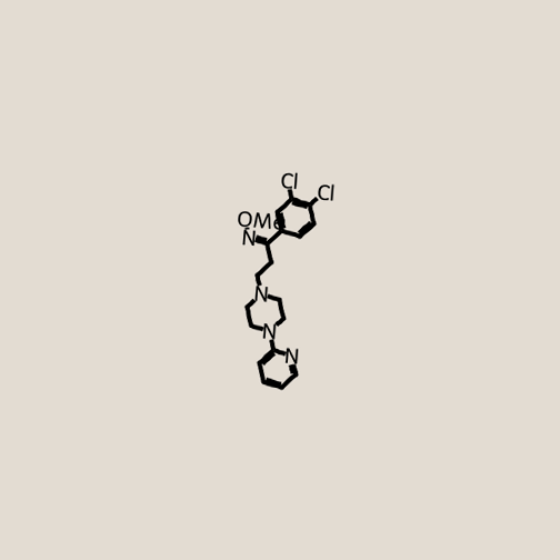 CON=C(CCN1CCN(c2ccccn2)CC1)c1ccc(Cl)c(Cl)c1